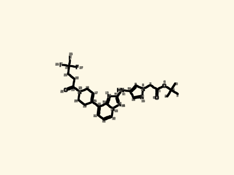 CC(C)(C)OC(=O)Cn1cc(Nc2nc3c(C4=CCN(C(=O)CCC(F)(F)F)CC4)cccn3n2)cn1